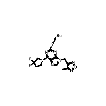 Cc1nonc1Cn1cnc2c(N3CCC(F)(F)C3)nc(OCC(C)(C)C)nc21